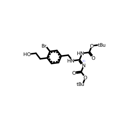 CC(C)(C)OC(=O)/N=C(\NCc1ccc(CCO)c(Br)c1)NC(=O)OC(C)(C)C